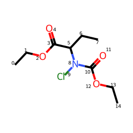 CCOC(=O)C(CC)N(Cl)C(=O)OCC